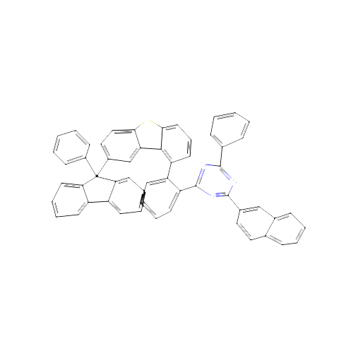 c1ccc(-c2nc(-c3ccc4ccccc4c3)nc(-c3ccccc3-c3cccc4sc5ccc(C6(c7ccccc7)c7ccccc7-c7ccccc76)cc5c34)n2)cc1